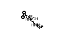 C[C@@H](CC(=O)NCCCC[C@H](NC(=O)OCC1c2ccccc2-c2ccccc21)C(=O)O)OC(C)(C)C